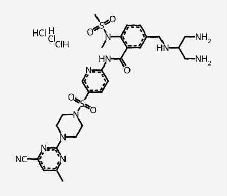 Cc1cc(C#N)nc(N2CCN(S(=O)(=O)c3ccc(NC(=O)c4cc(CNC(CN)CN)ccc4N(C)S(C)(=O)=O)nc3)CC2)n1.Cl.Cl.Cl